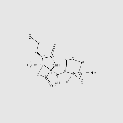 C[C@@]12OC(=O)[C@]1([C@@H](O)[C@H]1CCC[C@H]3O[C@@H]13)NC(=O)[C@@H]2CCCl